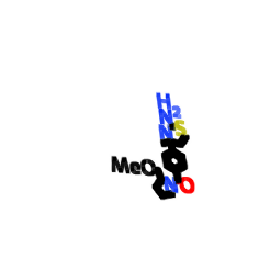 COCC1CCCN1C(=O)c1ccc(C2(C)CCSC(N)=N2)cc1